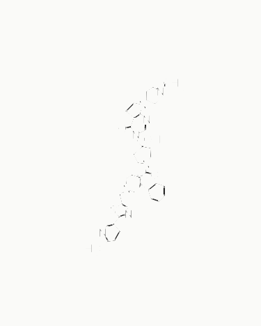 Cc1ccc(-c2ncc(CN3CC[C@@H](C(=O)N4CCC(O)(Cn5cnc6c(ccn6C6CCN(C)CC6)c5=O)CC4)[C@H](c4ccccc4)C3)s2)cn1